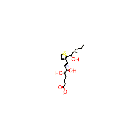 CCCCC[C@H](O)c1sccc1/C=C/[C@@H](O)[C@@H](O)CCCC(=O)OC